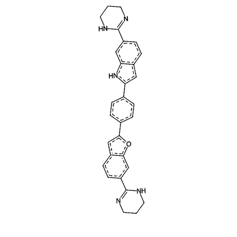 c1cc2cc(-c3ccc(-c4cc5ccc(C6=NCCCN6)cc5o4)cc3)[nH]c2cc1C1=NCCCN1